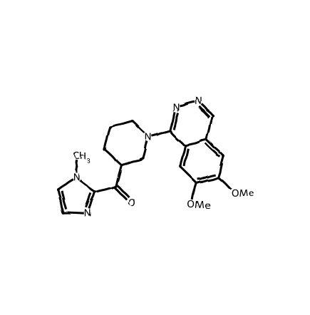 COc1cc2cnnc(N3CCCC(C(=O)c4nccn4C)C3)c2cc1OC